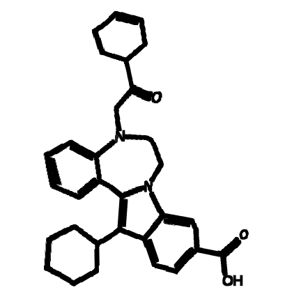 O=C(O)c1ccc2c(C3CCCCC3)c3n(c2c1)CCN(CC(=O)C1CC=CCC1)c1ccccc1-3